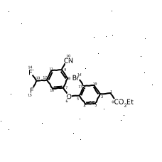 CCOC(=O)Cc1ccc(Oc2cc(C#N)cc(C(F)F)c2)c(Br)c1